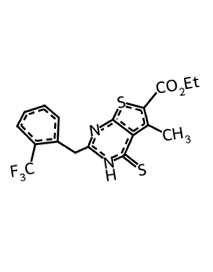 CCOC(=O)c1sc2nc(Cc3ccccc3C(F)(F)F)[nH]c(=S)c2c1C